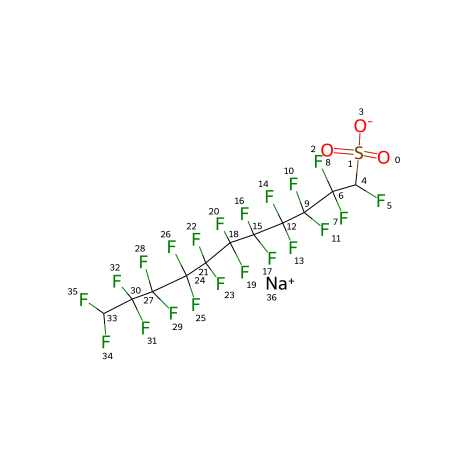 O=S(=O)([O-])C(F)C(F)(F)C(F)(F)C(F)(F)C(F)(F)C(F)(F)C(F)(F)C(F)(F)C(F)(F)C(F)(F)C(F)F.[Na+]